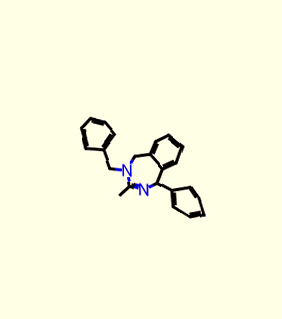 CC1=NC(c2ccccc2)c2ccccc2CN1Cc1ccccc1